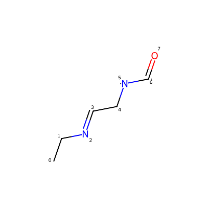 CCN=CC[N][C]=O